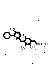 Cc1cc(CCC(=O)O)c(C)c(C)c1Cc1ccc(O)c(C2CCCCC2)n1